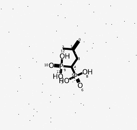 C=C(C)CC(P(=O)(O)O)P(=O)(O)O